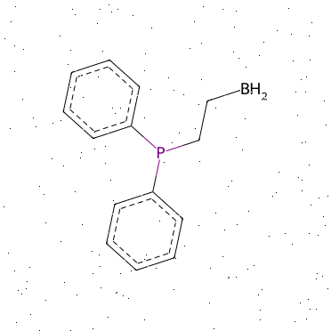 BCCP(c1ccccc1)c1ccccc1